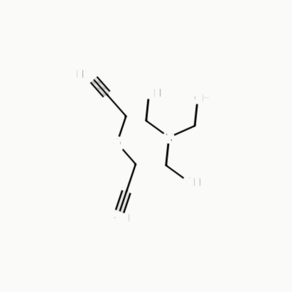 C#CCOCC#C.CCN(CC)CC